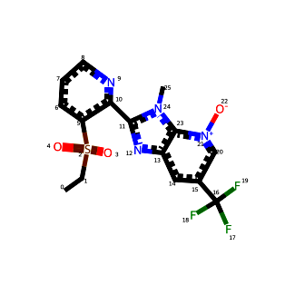 CCS(=O)(=O)c1cccnc1-c1nc2cc(C(F)(F)F)c[n+]([O-])c2n1C